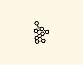 c1ccc(-c2ccc3c(c2)c2c(-c4c5ccccc5c(-c5ccccc5-c5ccccc5)c5ccccc45)cccc2n3-c2ccccc2)cc1